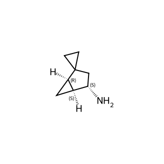 N[C@H]1CC2(CC2)[C@@H]2C[C@@H]21